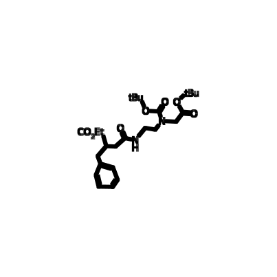 CCOC(=O)C(CC(=O)NCCN(CC(=O)OC(C)(C)C)C(=O)OC(C)(C)C)Cc1ccccc1